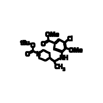 COC(=O)c1cc(Cl)c(OC)c(NC(C)C2CCN(C(=O)OC(C)(C)C)CC2)c1